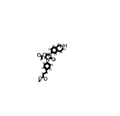 CC(=O)O.COC(=O)CCc1ccc(N2CCN(c3ccc4c(c3)CCNC4)C2=O)cc1